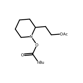 CCCCC(=O)ON1CCCCC1CCOC(C)=O